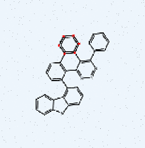 c1ccc(-c2cccc(-c3cccc4[se]c5ccccc5c34)c2-c2nnnc(-c3ccccc3)c2-c2ccccc2)cc1